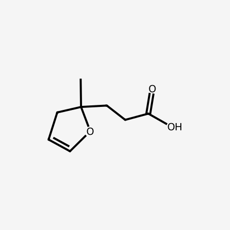 CC1(CCC(=O)O)CC=CO1